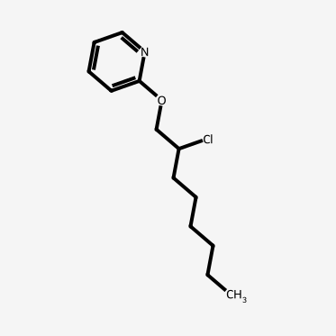 CCCCCCC(Cl)COc1ccccn1